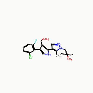 CC(C)(O)Cn1ncc(-c2[nH]cc(-c3c(F)cccc3Cl)c2CO)c1C(F)(F)F